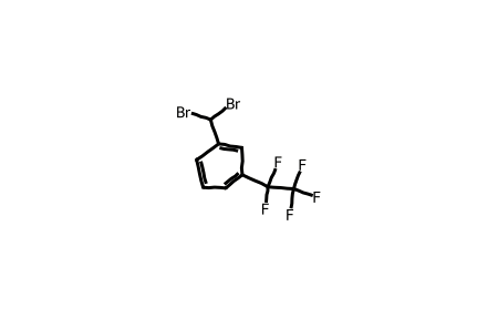 FC(F)(F)C(F)(F)c1cccc(C(Br)Br)c1